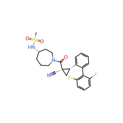 CS(=O)(=O)N[C@H]1CCCN(C(=O)[C@]2(C#N)C[C@H]2c2ccccc2-c2c(F)cccc2F)CC1